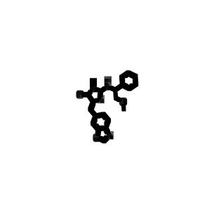 COCC(NC1=N/C(=C\c2ccc3ncoc3c2)C(=O)N1)c1ccccc1